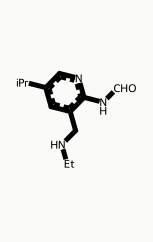 CCNCc1cc(C(C)C)cnc1NC=O